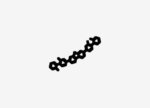 Cc1ccccc1-c1ccc(-c2ccc3c(c2)oc2cc(-c4ccc(-c5ccccc5C)c(C)c4)ccc23)cc1C